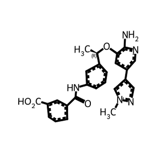 C[C@@H](Oc1cc(-c2cnn(C)c2)cnc1N)c1cccc(NC(=O)c2cccc(C(=O)O)c2)c1